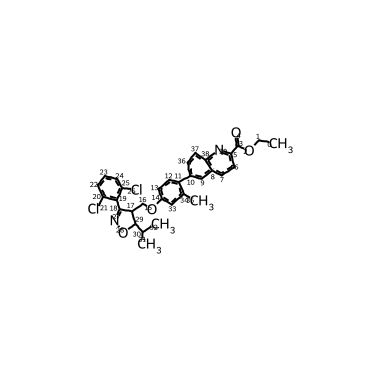 CCOC(=O)c1ccc2cc(-c3ccc(OCC4C(c5c(Cl)cccc5Cl)=NOC4C(C)C)cc3C)ccc2n1